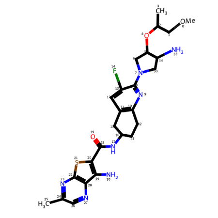 COCC(C)OC1CN(c2nc3c(cc2F)CC(NC(=O)c2sc4nc(C)cnc4c2N)CC3)CC1N